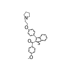 COc1ccc(C(=O)c2sc3ccccc3c2-c2ccc(OCCN3CCCC3)cc2)cc1